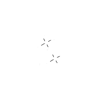 C.F[B-](F)(F)F.F[B-](F)(F)F